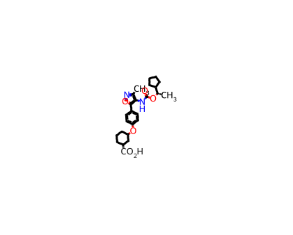 Cc1noc(-c2ccc(OC3CCCC(C(=O)O)C3)cc2)c1NC(=O)O[C@H](C)C1CCCC1